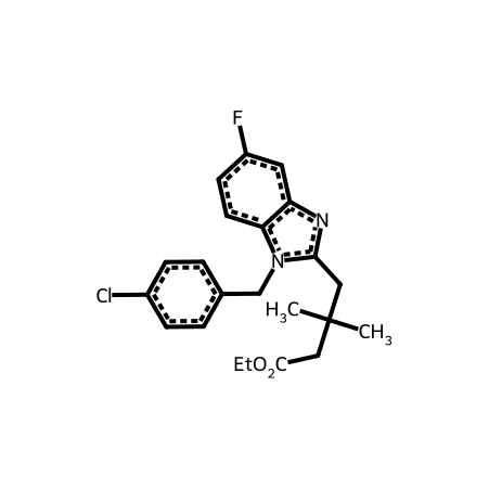 CCOC(=O)CC(C)(C)Cc1nc2cc(F)ccc2n1Cc1ccc(Cl)cc1